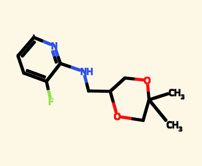 CC1(C)COC(CNc2n[c]ccc2F)CO1